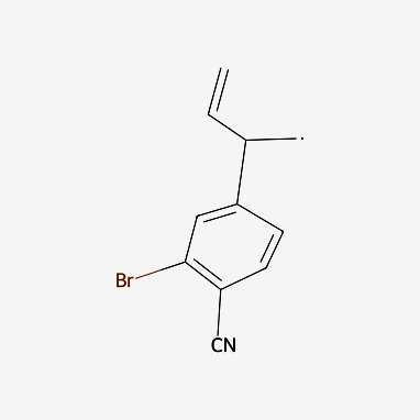 [CH2]C(C=C)c1ccc(C#N)c(Br)c1